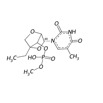 CCC12COC(C1OP(=O)(O)OC)[C@H](n1cc(C)c(=O)[nH]c1=O)O2